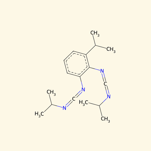 CC(C)N=C=Nc1cccc(C(C)C)c1N=C=NC(C)C